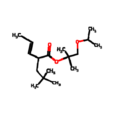 CC=CC(CC(C)(C)C)C(=O)OC(C)(C)COC(C)C